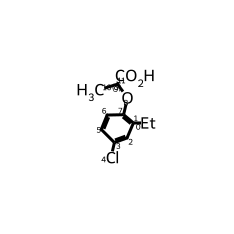 CCc1cc(Cl)ccc1O[C@@H](C)C(=O)O